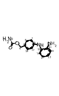 NC(=O)OCc1ccc(Nc2ccccc2N)cc1